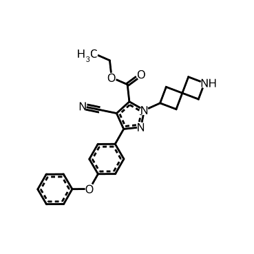 CCOC(=O)c1c(C#N)c(-c2ccc(Oc3ccccc3)cc2)nn1C1CC2(CNC2)C1